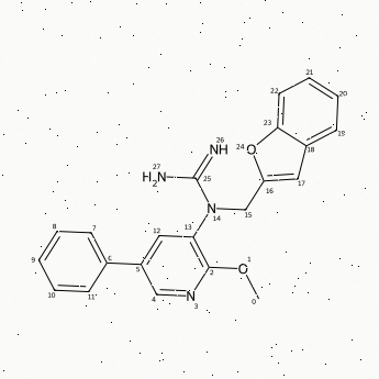 COc1ncc(-c2ccccc2)cc1N(Cc1cc2ccccc2o1)C(=N)N